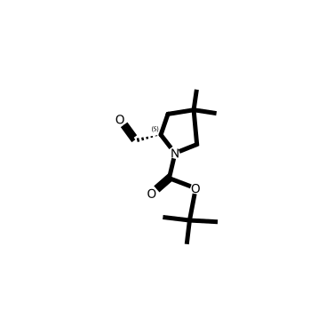 CC1(C)C[C@@H](C=O)N(C(=O)OC(C)(C)C)C1